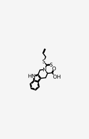 C=CCSC(=S)N1Cc2[nH]c3ccccc3c2CC1C(=O)O